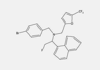 FCC(c1cccc2ccccc12)N(Cc1ccc(Br)cc1)Cc1ccc(C(F)(F)F)o1